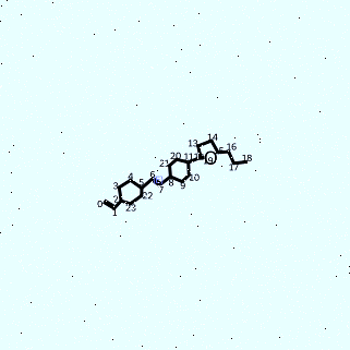 C=CC1CCC(/C=C/C2CCC(C3CCC(CCC)O3)CC2)CC1